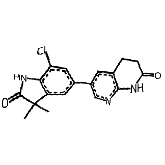 CC1(C)C(=O)Nc2c(Cl)cc(-c3cnc4c(c3)CCC(=O)N4)cc21